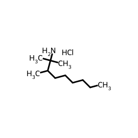 CCCCCCC(C)C(C)(C)N.Cl